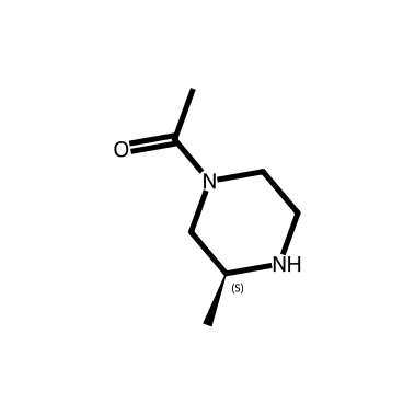 CC(=O)N1CCN[C@@H](C)C1